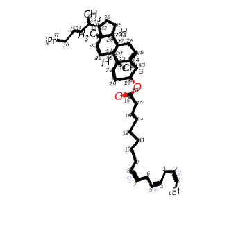 CC/C=C\C/C=C\C/C=C\CCCCCCCC(=O)O[C@H]1CC[C@@]2(C)C(=CCC3[C@@H]4CC[C@H](C(C)CCCC(C)C)[C@@]4(C)CC[C@@H]32)C1